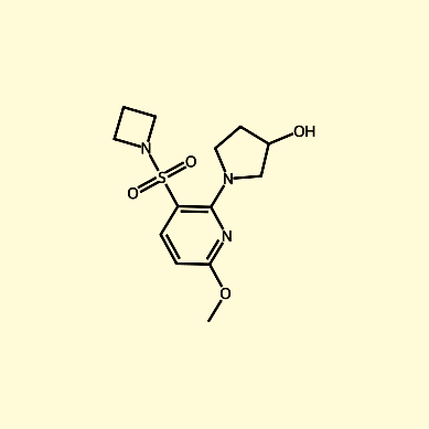 COc1ccc(S(=O)(=O)N2CCC2)c(N2CCC(O)C2)n1